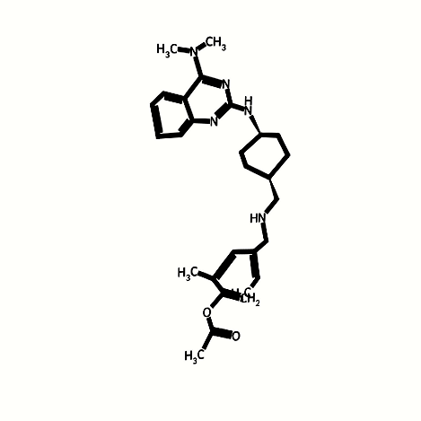 C=C(OC(C)=O)/C(C)=C\C(=C/C)CNC[C@H]1CC[C@@H](Nc2nc(N(C)C)c3ccccc3n2)CC1